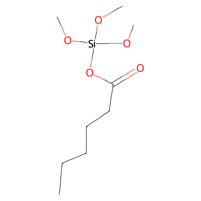 CCCCCC(=O)O[Si](OC)(OC)OC